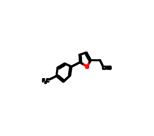 O=CCc1ccc(-c2ccc(C(F)(F)F)cc2)o1